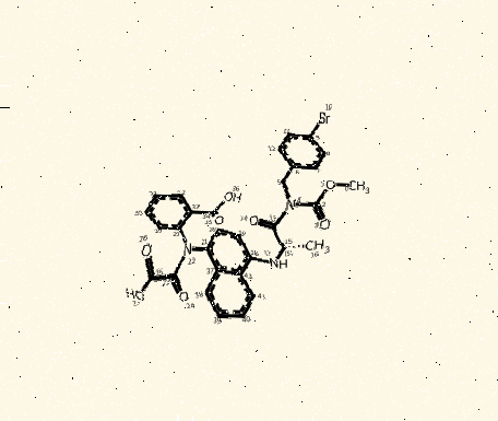 COC(=O)N(Cc1ccc(Br)cc1)C(=O)[C@H](C)Nc1ccc(N(C(=O)C(=O)O)c2ccccc2C(=O)O)c2ccccc12